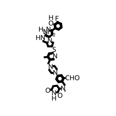 Cc1cc(SC2CC3CNC(N)=C(/C=C(\N)c4cccc(F)c4O)N3C2)ncc1CN1CCN(c2ccc(CN(C)C3CCC(=O)NC3=O)c(C=O)c2)CC1